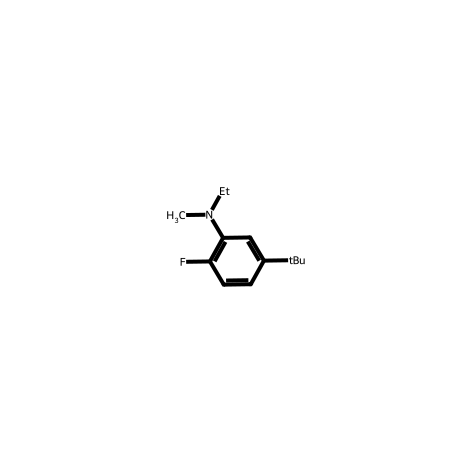 CCN(C)c1cc(C(C)(C)C)ccc1F